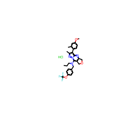 CCCN(Cc1ccc(OC(F)(F)F)cc1)c1c2c(nc3c(-c4ccc(OC)cc4C)c(C)nn13)COC2.Cl